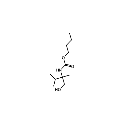 CCCCOC(=O)NC(C)(CO)C(C)C